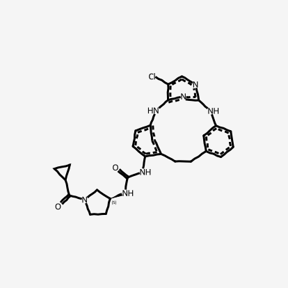 O=C(Nc1ccc2cc1CCc1cccc(c1)Nc1ncc(Cl)c(n1)N2)N[C@H]1CCN(C(=O)C2CC2)C1